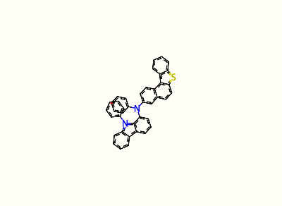 c1ccc(N(c2ccc3c(ccc4sc5ccccc5c43)c2)c2cccc3c4ccccc4n(-c4ccccc4)c23)cc1